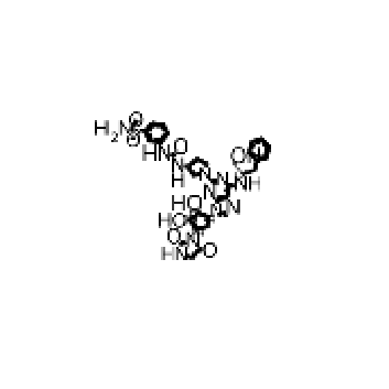 NS(=O)(=O)c1cccc(NC(=O)NC2CCN(c3nc(N[C@H](CO)Cc4ccccc4)c4ncn([C@@H]5C[C@H](N6C(=O)CNC6=O)[C@@H](O)[C@H]5O)c4n3)C2)c1